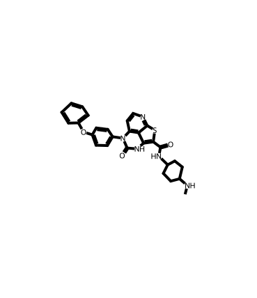 CNC1CCC(NC(=O)c2sc3nccc4c3c2NC(=O)N4c2ccc(Oc3ccccc3)cc2)CC1